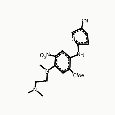 COc1cc(N(C)CCN(C)C)c([N+](=O)[O-])cc1Nc1ccc(C#N)cn1